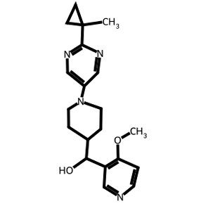 COc1ccncc1C(O)C1CCN(c2cnc(C3(C)CC3)nc2)CC1